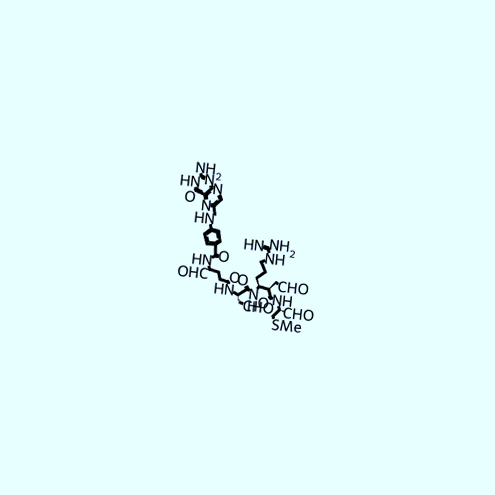 CSC[C@@H](C=O)NC(=O)[C@H](CC=O)[C@H](CCCNC(=N)N)NC(=O)[C@H](CC=O)NC(=O)CC[C@@H](C=O)NC(=O)c1ccc(NCc2cnc3nc(N)[nH]c(=O)c3n2)cc1